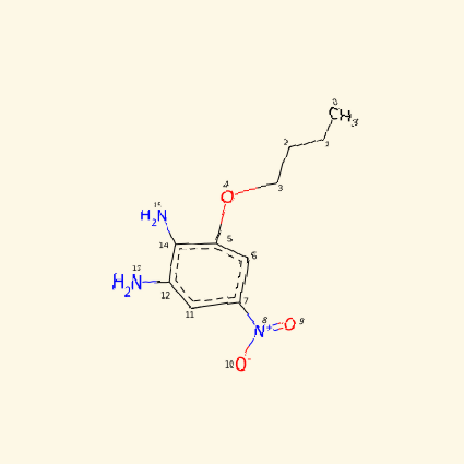 CCCCOc1cc([N+](=O)[O-])cc(N)c1N